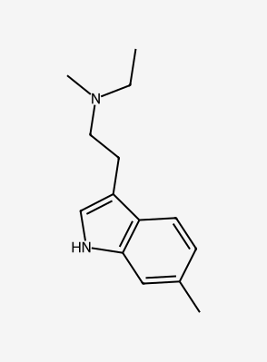 CCN(C)CCc1c[nH]c2cc(C)ccc12